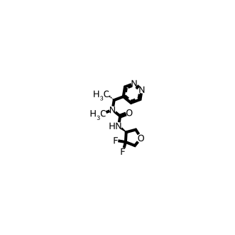 C[C@H](c1ccnnc1)N(C)C(=O)N[C@H]1COCC1(F)F